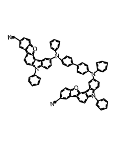 N#Cc1ccc2oc3c(ccc4c3c3cc(N(c5ccccc5)c5ccc(-c6ccc(N(c7ccccc7)c7ccc8c(c7)c7c9oc%10ccc(C#N)cc%10c9ccc7n8-c7ccccc7)cc6)cc5)ccc3n4-c3ccccc3)c2c1